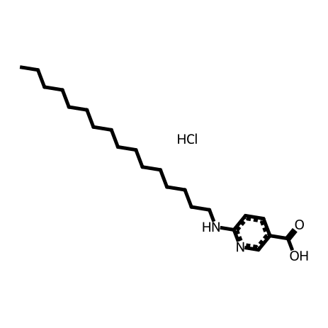 CCCCCCCCCCCCCCCCNc1ccc(C(=O)O)cn1.Cl